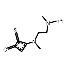 CCCN(C)CCN(C)c1cc(=O)c1=S